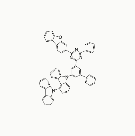 c1ccc(-c2cc(-c3nc(-c4ccccc4)nc(-c4ccc5c(c4)oc4ccccc45)n3)cc(-n3c4ccccc4c4c(-n5c6ccccc6c6ccccc65)cccc43)c2)cc1